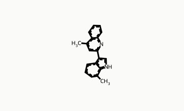 Cc1cc(-c2c[nH]c3c(C)cccc23)nc2ccccc12